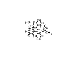 CCC(C)=O.O=C(O)c1cc2ccccc2c(Cc2c(O)c(C(=O)O)cc3ccccc23)c1O